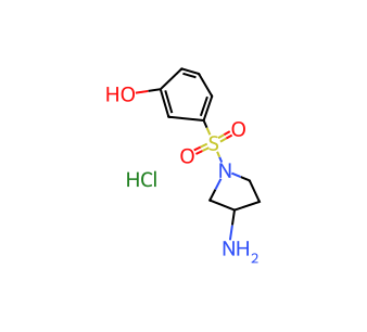 Cl.NC1CCN(S(=O)(=O)c2cccc(O)c2)C1